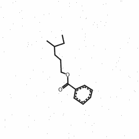 CCC(C)CCCOC(=O)c1ccccc1